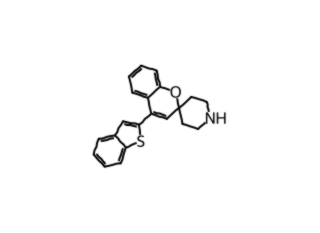 C1=C(c2cc3ccccc3s2)c2ccccc2OC12CCNCC2